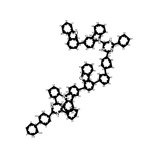 c1ccc(-c2ccc(-c3nc(-c4ccccc4)nc(-c4ccccc4-n4c5ccccc5c5cc(-c6ccc(-c7cccc(-c8ccc(-c9nc(-c%10ccccc%10)nc(-n%10c%11ccccc%11c%11cc(-c%12cccc%13c%12oc%12ccccc%12%13)ccc%11%10)n9)cc8)c7)c7c6oc6ccccc67)ccc54)n3)cc2)cc1